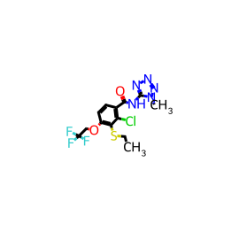 CCSc1c(OCC(F)(F)F)ccc(C(=O)Nc2nnnn2C)c1Cl